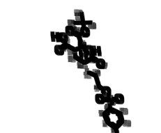 Cc1ccc(S(=O)(=O)OCCC[C@H](C[C@H](NC(=O)OC(C)(C)C)C(=O)O)C(=O)O)cc1